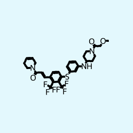 COCC(=O)N1CCC(Nc2cccc(Sc3ccc(C=CC(=O)N4CC=CCC4)c(C(F)(F)F)c3C(F)(F)F)c2)CC1